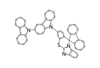 c1ccc2c(c1)-c1ccccc1C21c2ccc(-n3c4ccccc4c4cc(-n5c6ccccc6c6ccccc65)ccc43)cc2Sc2nc3ccccc3n21